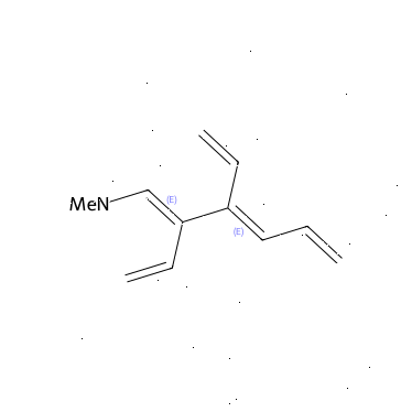 C=C/C=C(C=C)/C(C=C)=C/NC